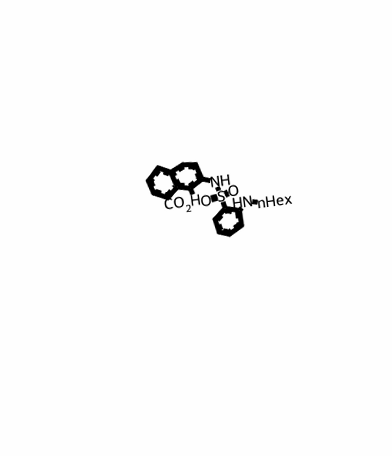 CCCCCCNc1ccccc1S(=O)(=O)Nc1ccc2ccccc2c1C(=O)O